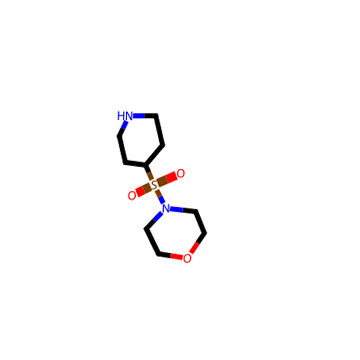 O=S(=O)(C1CCNCC1)N1CCOCC1